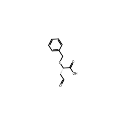 O=CC[C@H](SCc1ccccc1)C(=O)O